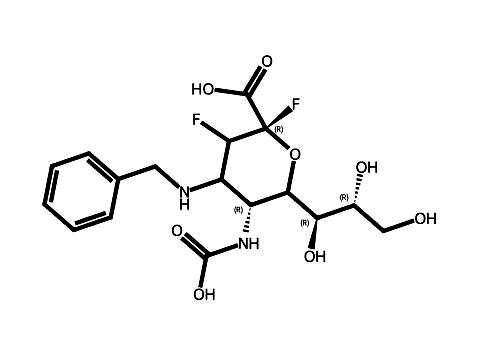 O=C(O)N[C@@H]1C(NCc2ccccc2)C(F)[C@](F)(C(=O)O)OC1[C@H](O)[C@H](O)CO